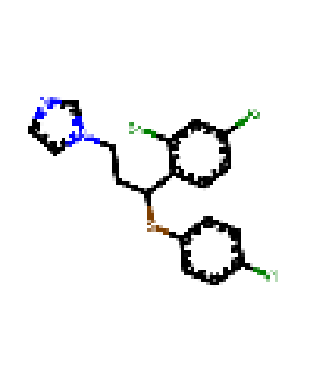 Clc1ccc(SC(CCn2ccnc2)c2ccc(Br)cc2Br)cc1